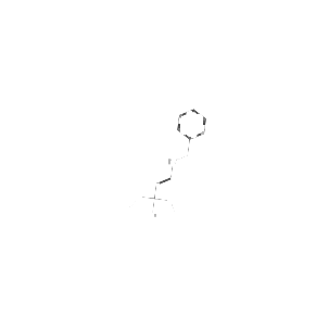 CCCC(C=CNCc1ccccc1)(OCC)OCC